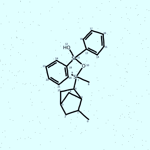 CC1CC2CC1C([Si](C)(C)O[Si](O)(c1ccccc1)c1ccccc1)C2